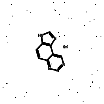 [Sn].c1nc2c(ccc3nnncc32)[nH]1